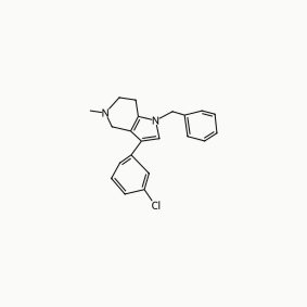 CN1CCc2c(c(-c3cccc(Cl)c3)cn2Cc2ccccc2)C1